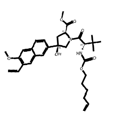 C=CCCCCOC(=O)N[C@H](C(=O)N1C[C@](O)(c2ccc3cc(OC)c(C=C)cc3c2)C[C@H]1C(=O)OC)C(C)(C)C